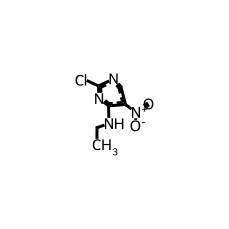 CCNc1nc(Cl)ncc1[N+](=O)[O-]